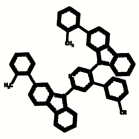 Cc1ccccc1-c1ccc2c3ccccc3n(-c3cc(-c4cccc(C#N)c4)c(-n4c5ccccc5c5ccc(-c6ccccc6C)cc54)cn3)c2c1